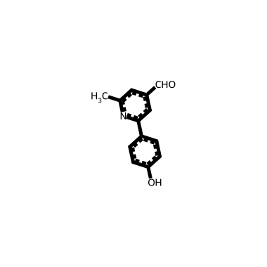 Cc1cc(C=O)cc(-c2ccc(O)cc2)n1